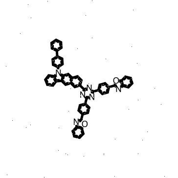 c1ccc(-c2ccc(-n3c4ccccc4c4cc5cc(-c6nc(-c7ccc(-c8nc9ccccc9o8)cc7)nc(-c7ccc(-c8nc9ccccc9o8)cc7)n6)ccc5cc43)cc2)cc1